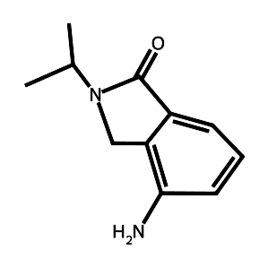 CC(C)N1Cc2c(N)cccc2C1=O